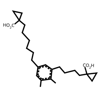 Cc1cc(CCCCCCC2(C(=O)O)CC2)cc(CCCCC2(C(=O)O)CC2)c1C